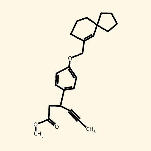 CC#CC(CC(=O)OC)c1ccc(OCC2=CC3(CCCC3)CCC2)cc1